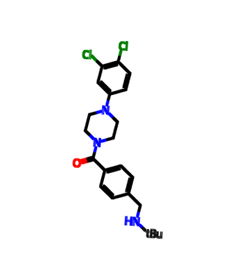 CC(C)(C)NCc1ccc(C(=O)N2CCN(c3ccc(Cl)c(Cl)c3)CC2)cc1